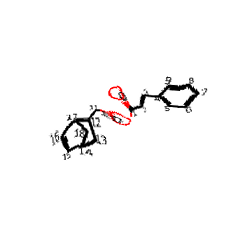 O=C(C=Cc1ccccc1)OCC1CC2C=CC1C2